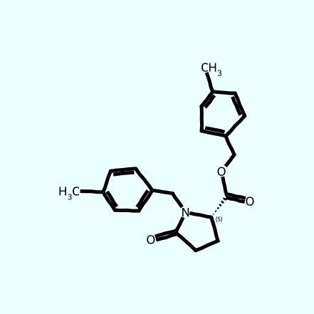 Cc1ccc(COC(=O)[C@@H]2CCC(=O)N2Cc2ccc(C)cc2)cc1